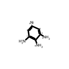 Nc1cccc(N)c1N.[Ni]